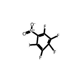 O=[N+]([O-])c1c(F)c(F)c(F)c(F)c1I